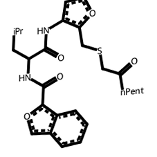 CCCCCC(=O)CSCc1occc1NC(=O)C(CC(C)C)NC(=O)c1occ2ccccc12